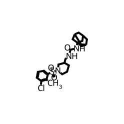 Cc1c(Cl)cccc1S(=O)(=O)N1CCCC(CNC(=O)NC23CC4CC(CC(C4)C2)C3)C1